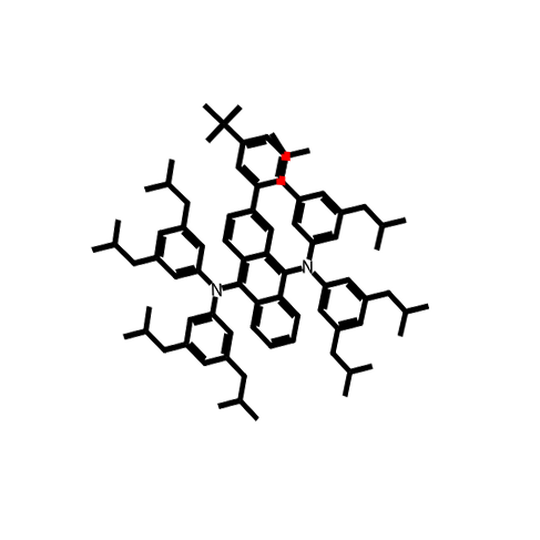 CC(C)Cc1cc(CC(C)C)cc(N(c2cc(CC(C)C)cc(CC(C)C)c2)c2c3ccccc3c(N(c3cc(CC(C)C)cc(CC(C)C)c3)c3cc(CC(C)C)cc(CC(C)C)c3)c3cc(-c4cccc(C(C)(C)C)c4)ccc23)c1